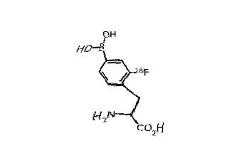 NC(Cc1ccc(B(O)O)cc1[18F])C(=O)O